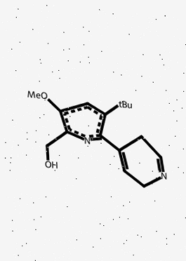 COc1cc(C(C)(C)C)c(C2=CCN=CC2)nc1CO